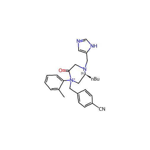 CCCC[C@H]1C[N+](Cc2ccc(C#N)cc2)(c2ccccc2C)C(=O)CN1Cc1cnc[nH]1